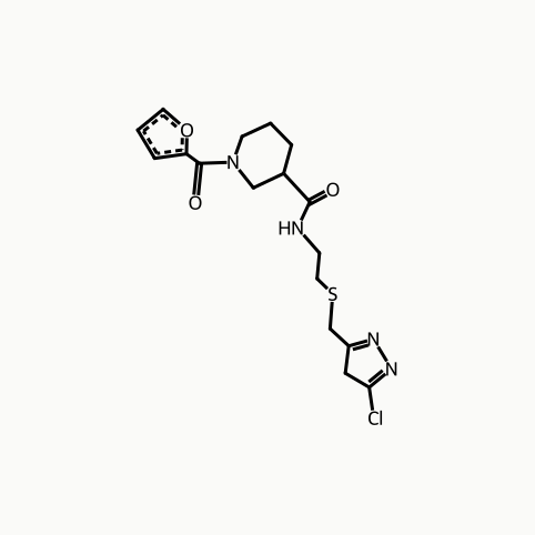 O=C(NCCSCC1=NN=C(Cl)C1)C1CCCN(C(=O)c2ccco2)C1